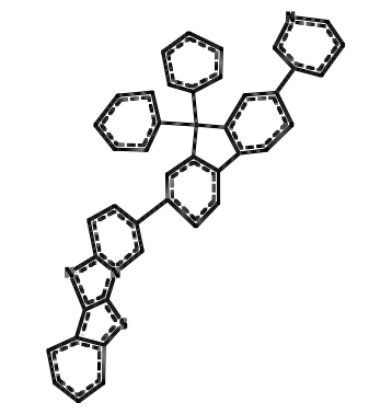 c1ccc(C2(c3ccccc3)c3cc(-c4cccnc4)ccc3-c3ccc(-c4ccc5nc6c7ccccc7sc6n5c4)cc32)cc1